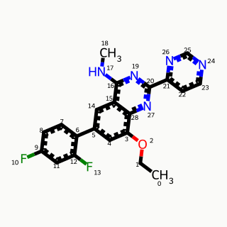 CCOc1cc(-c2ccc(F)cc2F)cc2c(NC)nc(-c3ccncn3)nc12